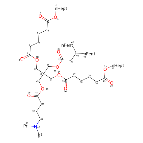 CCCCCCCOC(=O)CCCCC(=O)OCC(COC(=O)CCCCC(=O)OCCCCCCC)(COC(=O)CCCN(CC)C(C)C)COC(=O)CC(CCCCC)CCCCC